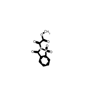 COC(=O)C(=O)N1C(=O)c2ccccc2S1(=O)=O